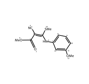 COC(=O)C(C#N)=C(Nc1cccc(OC)c1)SC